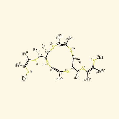 CCS/C(=C(\S[C@@H](CC)[C@@H]1S/C(C(C)C)=C\S[C@@H]([C@@H](CC)S/C(=C(\SCC)C(C)C)C(C)C)[C@H](C)S/C(C(C)C)=C(/C(C)C)S[C@H]1C)C(C)C)C(C)C